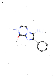 CCn1ccn2c(N)c(-c3ccccc3)nc2c1=O